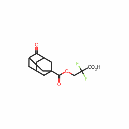 O=C1C2CC3CC1CC(C(=O)OCC(F)(F)C(=O)O)(C3)C2